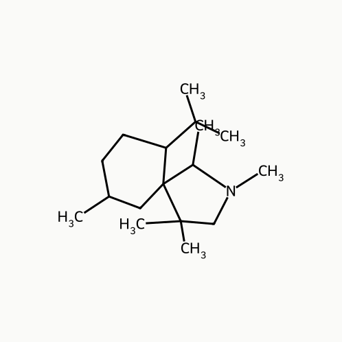 CC1CCC(C(C)C)C2(C1)C(C)N(C)CC2(C)C